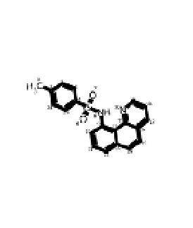 Cc1ccc(S(=O)(=O)Nc2cccc3ccc4cccnc4c23)cc1